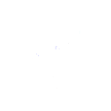 O=C(Nc1cc(F)c(Br)cc1[N+](=O)[O-])C(F)(F)F